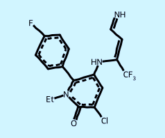 CCn1c(-c2ccc(F)cc2)c(N/C(=C\C=N)C(F)(F)F)cc(Cl)c1=O